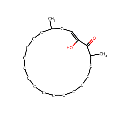 CC1C/C=C(\O)C(=O)C(C)CCCCCCCCCCCCCC1